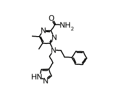 Cc1nc(C(N)=O)nc(N(CCc2ccccc2)CCc2cn[nH]c2)c1C